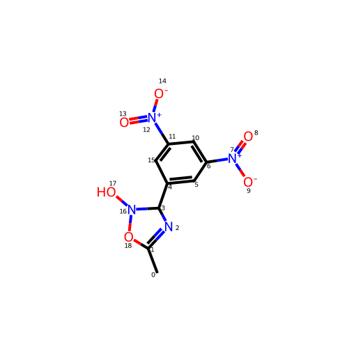 CC1=NC(c2cc([N+](=O)[O-])cc([N+](=O)[O-])c2)N(O)O1